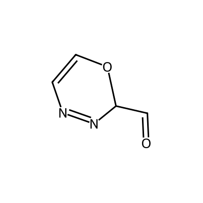 O=CC1N=NC=CO1